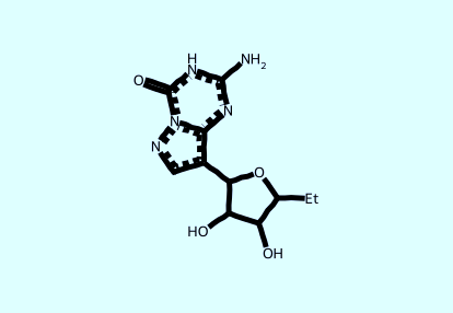 CCC1OC(c2cnn3c(=O)[nH]c(N)nc23)C(O)C1O